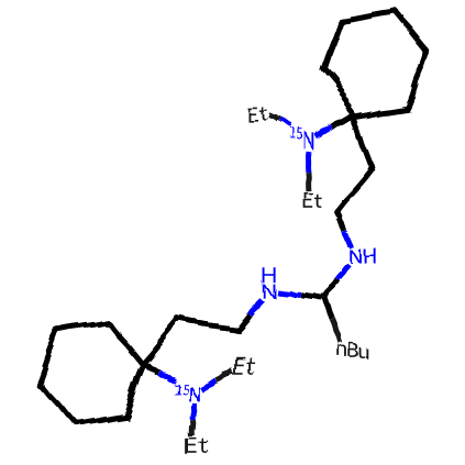 CCCCC(NCCC1([15N](CC)CC)CCCCC1)NCCC1([15N](CC)CC)CCCCC1